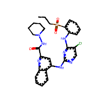 CCCS(=O)(=O)c1ccccc1Nc1nc(Nc2cc(C(=O)NN3CCCCC3)nc3ccccc23)ncc1Cl